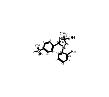 CS(=O)(=O)c1ccc(C2=NC(O)(C(F)(F)F)CN2c2ccccc2F)cc1